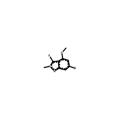 COc1cc(Br)cc2nn(C)c(F)c12